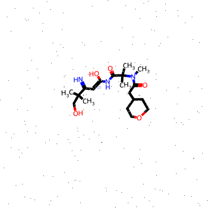 CN(C(=O)CC1CCOCC1)C(C)(C)C(=O)N/C(O)=C/C(=N)C(C)(C)CO